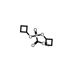 CC(=O)P(=O)(OC1CCC1)OC1CCC1